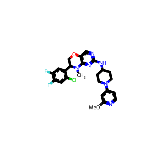 COc1cc(N2CCC(Nc3ncc4c(n3)N(C)C(c3cc(F)c(F)cc3Cl)CO4)CC2)ccn1